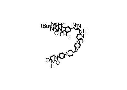 Cc1cc(-c2cc(Nc3ccc(N4CCN(CC5CCN(c6ccc(N7CCC(=O)NC7=O)cc6)CC5)CC4)c(F)n3)ncn2)ccc1[C@@H](C)NC(=O)c1nc(C(C)(C)C)no1